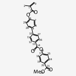 C=C(C)C(=O)Oc1ccc(-c2ccc(C(=O)Oc3ccc(C(=O)OC)cc3)cc2)cc1